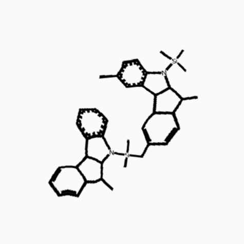 Cc1ccc2c(c1)C1C3C=C(C[Si](C)(C)N4c5ccccc5C5C6C=CC=CC6C(C)C54)C=CC3C(C)C1N2[Si](C)(C)C